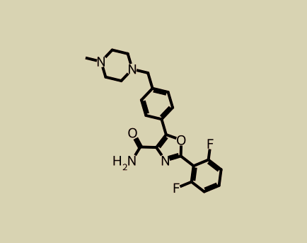 CN1CCN(Cc2ccc(-c3oc(-c4c(F)cccc4F)nc3C(N)=O)cc2)CC1